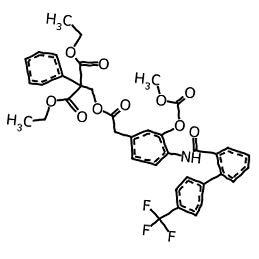 CCOC(=O)C(COC(=O)Cc1ccc(NC(=O)c2ccccc2-c2ccc(C(F)(F)F)cc2)c(OC(=O)OC)c1)(C(=O)OCC)c1ccccc1